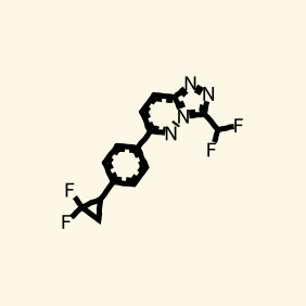 FC(F)c1nnc2ccc(-c3ccc(C4CC4(F)F)cc3)nn12